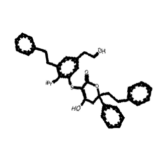 CC(C)c1c(CCc2ccccc2)cc(CCO)cc1SC1=C(O)CC(CCc2ccccc2)(c2ccccc2)OC1=O